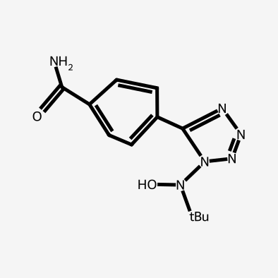 CC(C)(C)N(O)n1nnnc1-c1ccc(C(N)=O)cc1